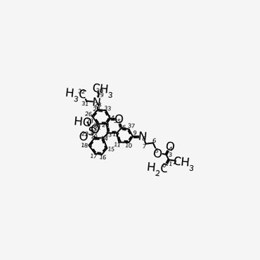 C=C(C)C(=O)OCC/N=c1\ccc2c(-c3ccccc3S(=O)(=O)O)c3ccc(N(CC)CC)cc3oc-2c1